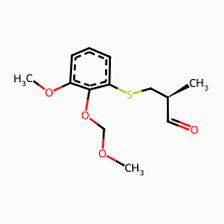 COCOc1c(OC)cccc1SC[C@@H](C)C=O